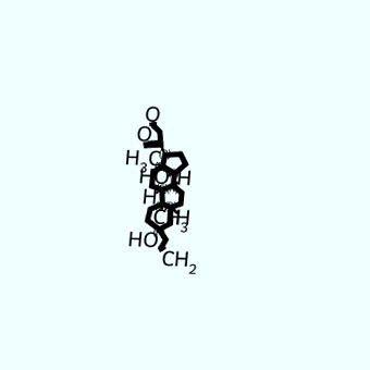 C=CC[C@]1(O)CC[C@@]2(C)[C@H](CC[C@@H]3[C@@H]2CC[C@]2(C)[C@@H](C4=COC(=O)C4)CC[C@]32O)C1